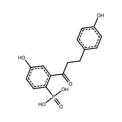 O=C(CCc1ccc(O)cc1)c1cc(O)ccc1P(=O)(O)O